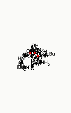 CC[C@H](C)[C@@H]1NC(=O)CNC(=O)C2Cc3c(n(CCCCNC(=O)OC(C)(C)C)c4cc(OC)ccc34)[S@+]([O-])CC(NC(=O)CNC1=O)C(=O)N[C@@H](CC(N)=O)C(=O)N1C[C@H](O)C[C@H]1C(=O)N[C@@H]([C@@H](C)[C@@H](O)CO)C(=O)N2